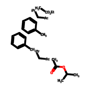 CC(=O)CC(C)C.CC(=O)CC(C)C.CC(=O)OC(C)C.CCOC(C)=O.Cc1ccccc1.Cc1ccccc1